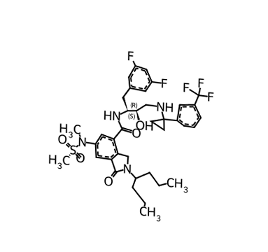 CCCC(CCC)N1Cc2c(C(=O)N[C@@H](Cc3cc(F)cc(F)c3)[C@H](O)CNC3(c4cccc(C(F)(F)F)c4)CC3)cc(N(C)S(C)(=O)=O)cc2C1=O